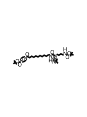 Cc1cn([C@@H](CCCCNC(=O)OC(C)(C)C)C(=O)NCCCCCCCCCCC(=O)N2CCN(C(=O)OC(C)(C)C)CC2)nn1